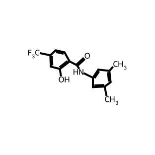 Cc1cc(C)cc(NC(=O)c2ccc(C(F)(F)F)cc2O)c1